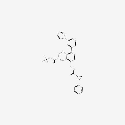 CC(C)(C)NC(=O)N1CCc2c(-c3cccc(-n4ccnn4)c3)ccc(CNC(=O)C3C[C@@H]3c3ccccc3)c2C1